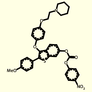 COc1ccc(-c2sc3cc(OC(=O)Oc4ccc([N+](=O)[O-])cc4)ccc3c2Oc2ccc(OCCN3CCCCC3)cc2)cc1